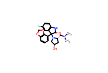 CN(C)C(=O)[C@@H]1C[C@@H](O)CN1C1(c2cccc3c2OCO3)C(=O)Nc2ccc(F)cc21